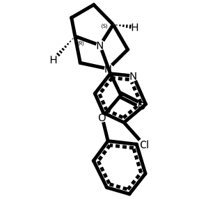 O=C(Oc1ccccc1)N1C[C@H]2CC[C@@H](C1)N2c1ccc(Cl)cn1